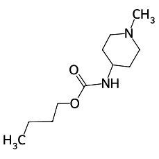 CCCCOC(=O)NC1CCN(C)CC1